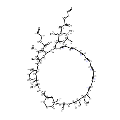 C=CCOC(=O)N[C@@H]1[C@H](O)[C@H](O[C@H]2/C=C/C=C/C=C/C=C/C=C/C=C/C=C/C(C)[C@@H](O)[C@@H](C)[C@H](C)OC(=O)C[C@H]3C[C@@H](CC[C@@H](O)[C@H]4C[C@@H](C[C@]5(OC)C[C@H](O)[C@@H](C(=O)OCC=C)C(C2)O5)OCO4)OCO3)O[C@H](C)[C@H]1O